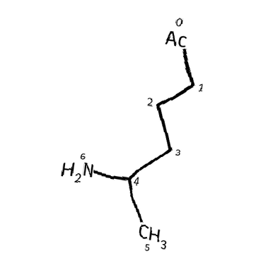 CC(=O)CCCC(C)N